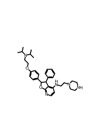 CC(C)N(CCOc1ccc(C2Oc3nccc(NCCN4CCNCC4)c3C2c2ccccc2)cc1)C(C)C